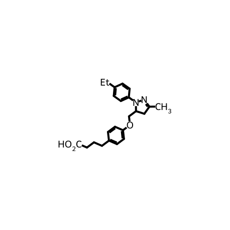 CCc1ccc(N2N=C(C)CC2COc2ccc(CCCC(=O)O)cc2)cc1